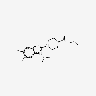 CCOC(=O)C1CCN(c2nc3cc(C)c(C)cc3n2C(C)C)CC1